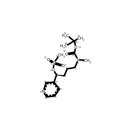 CN(CCC[C@H](OS(C)(=O)=O)c1cccnc1)C(=O)OC(C)(C)C